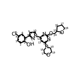 Oc1ccc(Cl)cc1-c1ccn(-c2cc(N3CCOCC3)nc(OCC3CCCO3)n2)n1